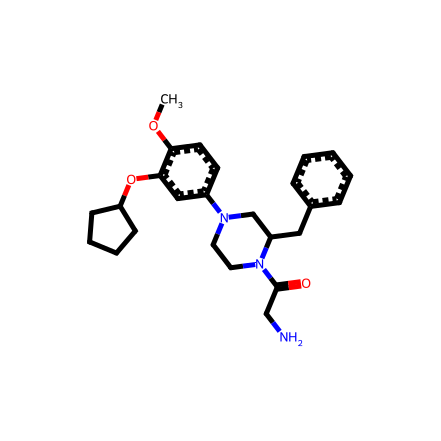 COc1ccc(N2CCN(C(=O)CN)C(Cc3ccccc3)C2)cc1OC1CCCC1